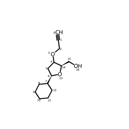 C#CCOC1C[C@H](C2CCCCC2)O[C@@H]1CO